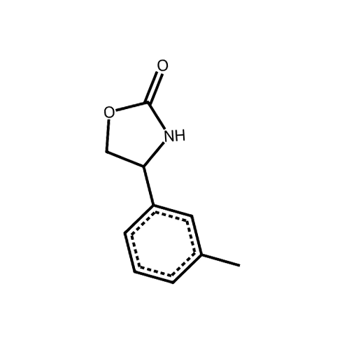 Cc1cccc(C2COC(=O)N2)c1